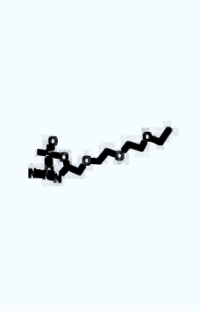 CCOCCOCCOCC(N=[N+]=[N-])OS(C)(=O)=O